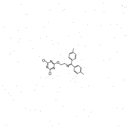 Cc1ccc(C(=NCCOc2nc(Cl)nc(Cl)n2)c2ccc(C)cc2)cc1